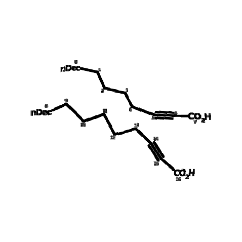 CCCCCCCCCCCCCCC#CC(=O)O.CCCCCCCCCCCCCCCC#CC(=O)O